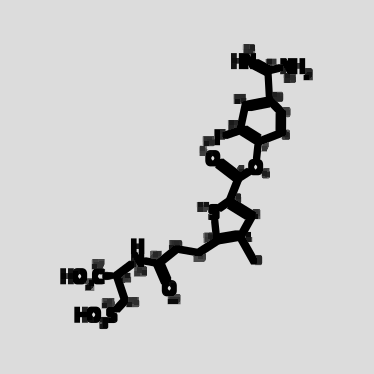 Cc1cc(C(=O)Oc2ccc(C(=N)N)cc2F)sc1CCC(=O)N[C@@H](CS(=O)(=O)O)C(=O)O